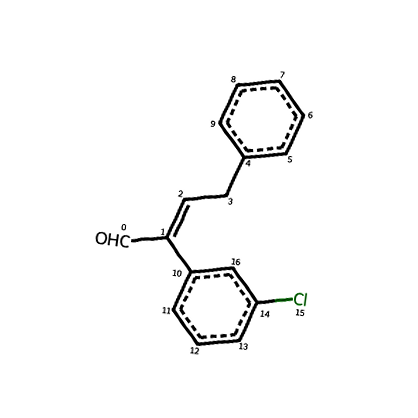 O=CC(=CCc1ccccc1)c1cccc(Cl)c1